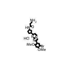 COc1cc(OC)c(-c2cn3ccc(C4CCC(NC(=O)CCN)C4)nc3n2)cc1Br.Cl